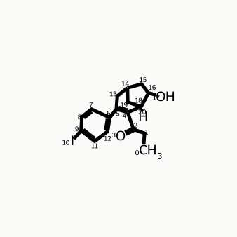 CCC(=O)C1=C(c2ccc(I)cc2)CC2CC(O)[C@H]1C2